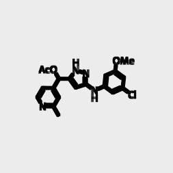 COc1cc(Cl)cc(Nc2cc(C(OC(C)=O)c3ccnc(C)c3)[nH]n2)c1